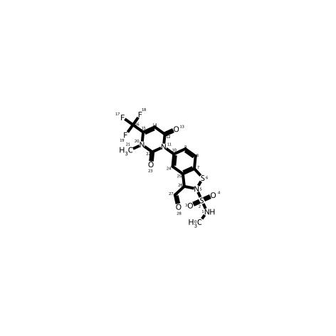 CNS(=O)(=O)N1Sc2ccc(-n3c(=O)cc(C(F)(F)F)n(C)c3=O)cc2C1[C]=O